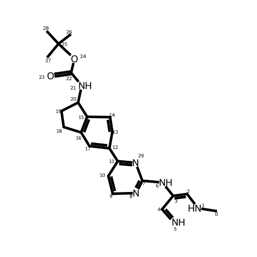 CN/C=C(\C=N)Nc1nccc(-c2ccc3c(c2)CCC3NC(=O)OC(C)(C)C)n1